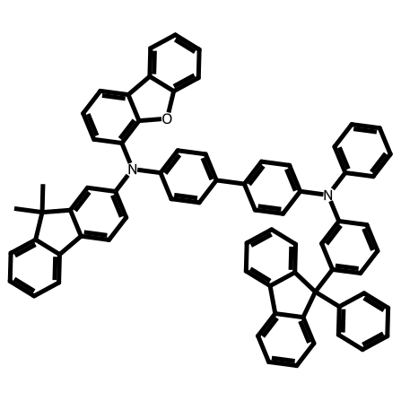 CC1(C)c2ccccc2-c2ccc(N(c3ccc(-c4ccc(N(c5ccccc5)c5cccc(C6(c7ccccc7)c7ccccc7-c7ccccc76)c5)cc4)cc3)c3cccc4c3oc3ccccc34)cc21